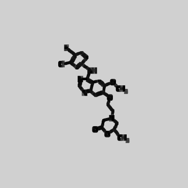 COc1cc2c(Nc3ccc(F)c(Cl)c3)ncnc2cc1OCCN1CC(=O)OC(C)C1